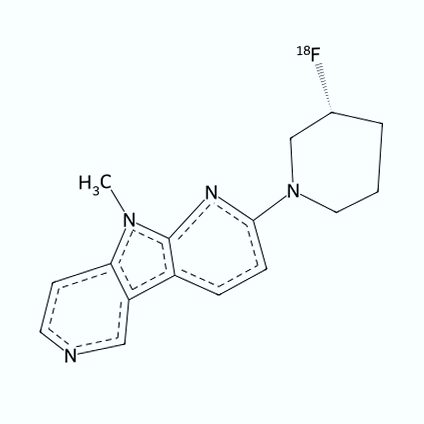 Cn1c2ccncc2c2ccc(N3CCC[C@@H]([18F])C3)nc21